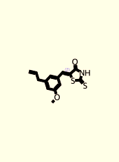 C=CCc1cc(/C=C2\SC(=S)NC2=O)cc(OC)c1